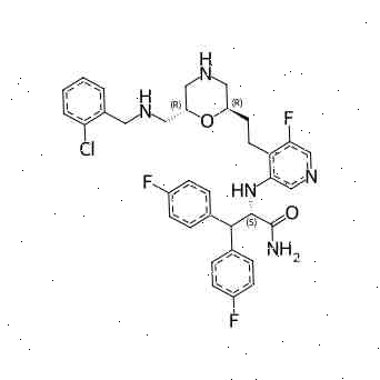 NC(=O)[C@@H](Nc1cncc(F)c1CC[C@@H]1CNC[C@@H](CNCc2ccccc2Cl)O1)C(c1ccc(F)cc1)c1ccc(F)cc1